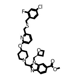 COC(=O)c1ccc2nc(CN3CCC(Oc4cccc(CSCc5ccc(Cl)cc5F)n4)CC3)n(C[C@@H]3CCO3)c2c1